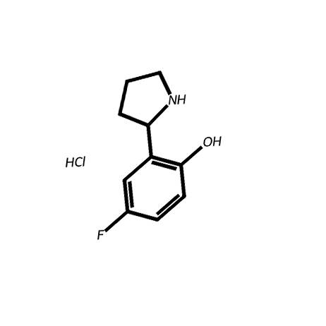 Cl.Oc1ccc(F)cc1C1CCCN1